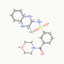 O=C(c1cccc(S(=O)(=O)Nc2nc3ccccc3nc2Cl)c1)N1CCOCC1